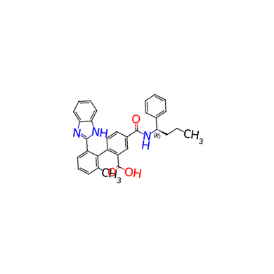 CCC[C@@H](NC(=O)c1ccc(-c2c(C)cccc2-c2nc3ccccc3[nH]2)c(C(=O)O)c1)c1ccccc1